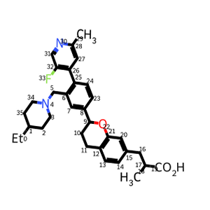 CCC1CCN(Cc2cc(C3CCc4ccc(CC(C)C(=O)O)cc4O3)ccc2-c2cc(C)ncc2F)CC1